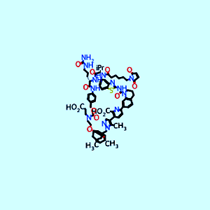 Cc1c(-c2ccc(-c3ccc4c(c3)N(C(=O)Nc3nc5ccccc5s3)CCC4)nc2C(=O)O)cnn1CC12CC3(C)CC(OCCN(CCC(=O)O)C(=O)OCc4ccc(NC(=O)[C@H](CCCNC(N)=O)NC(=O)[C@@H](NC(=O)CCCCCN5C(=O)C=CC5=O)C(C)C)cc4)(C1)C[C@](C)(C3)C2